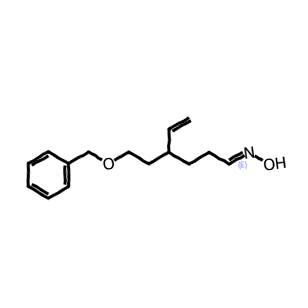 C=CC(CC/C=N/O)CCOCc1ccccc1